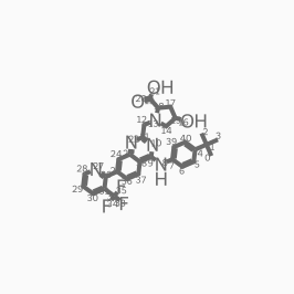 CC(C)(C)c1ccc(Nc2nc(CN3CC(O)CC3C(=O)O)nc3cc(-c4ncccc4C(F)(F)F)ccc23)cc1